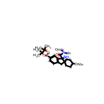 COC1CCC2(CC1)Cc1ccc(B3OC(C)(C)C(C)(C)O3)cc1C2(N)C(=O)N(C=O)C(C)C